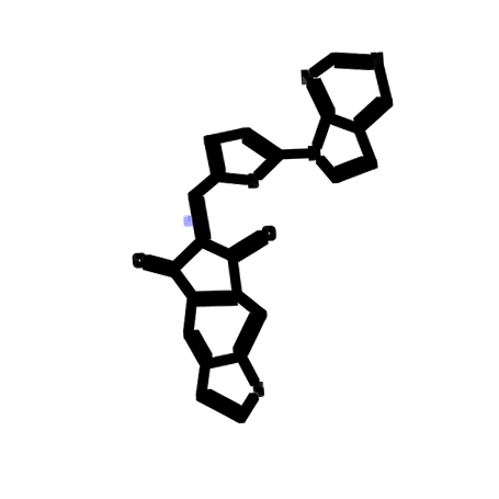 O=C1/C(=C/c2ccc(-n3ccc4cncnc43)s2)C(=O)c2cc3sccc3cc21